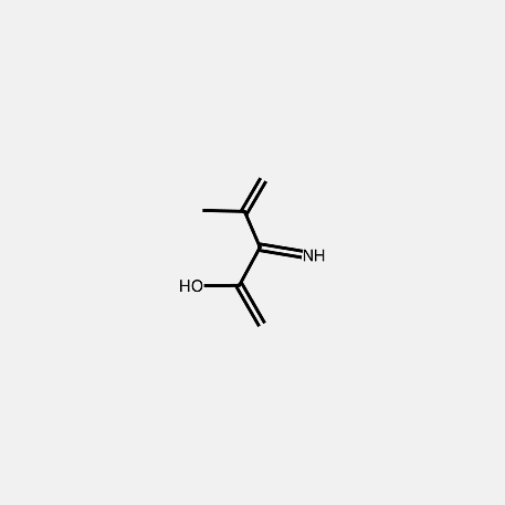 C=C(C)C(=N)C(=C)O